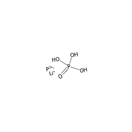 O=P(O)(O)O.[Li+].[P+3]